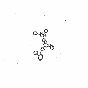 c1ccc(-c2cc(-c3ccc(-c4cc(-c5ccc(C6c7ccccc7-c7ccccc76)cc5)cc(-c5ccccn5)n4)nc3)nc(-c3ccccc3)n2)cc1